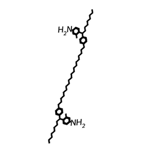 CCCCCCCCC(c1ccc(CCCCCCCCCCCCCCCCCCCCc2ccc(C(CCCCCCCC)c3ccc(N)cc3C)cc2)cc1)c1ccc(N)cc1C